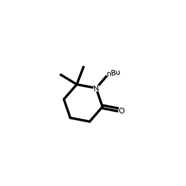 CCCCN1C(=O)CCCC1(C)C